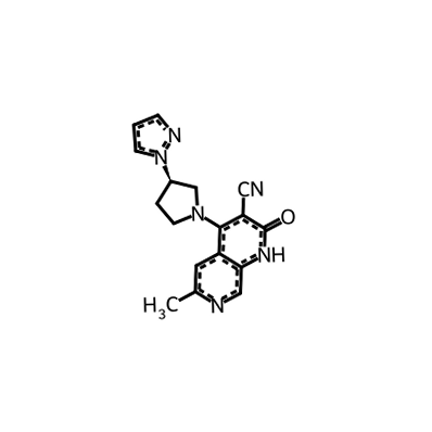 Cc1cc2c(N3CC[C@@H](n4cccn4)C3)c(C#N)c(=O)[nH]c2cn1